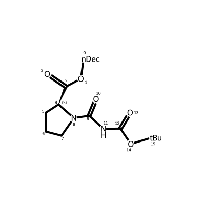 CCCCCCCCCCOC(=O)[C@@H]1CCCN1C(=O)NC(=O)OC(C)(C)C